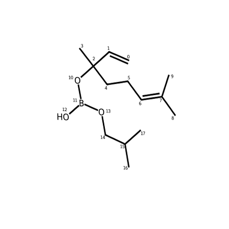 C=CC(C)(CCC=C(C)C)OB(O)OCC(C)C